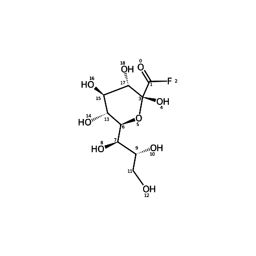 O=C(F)[C@]1(O)O[C@@H]([C@H](O)[C@H](O)CO)[C@H](O)[C@@H](O)[C@@H]1O